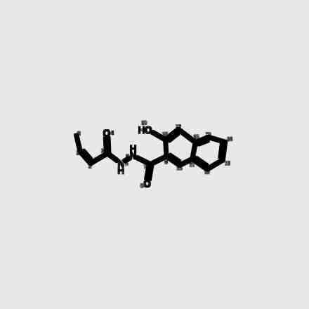 C/C=C\C(=O)NNC(=O)c1cc2ccccc2cc1O